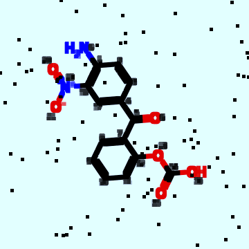 Nc1ccc(C(=O)c2ccccc2OC(=O)O)cc1[N+](=O)[O-]